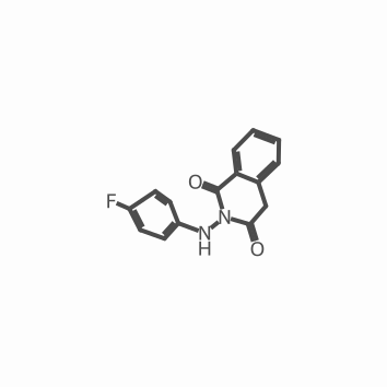 O=C1Cc2ccccc2C(=O)N1Nc1ccc(F)cc1